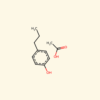 CC(=O)O.CCCc1ccc(O)cc1